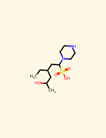 CCC(CC(C)O)CC(N1CCNCC1)S(=O)(=O)O